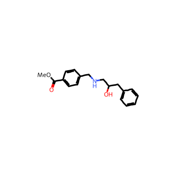 COC(=O)c1ccc(CNCC(O)Cc2ccccc2)cc1